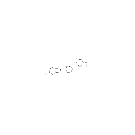 CC(C)(C)c1ccc2nc(-c3cccc4c3OCCN4c3ccc(C(F)(F)F)cn3)[nH]c2c1